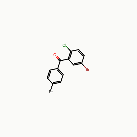 CCc1ccc(C(=O)c2cc(Br)ccc2Cl)cc1